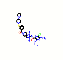 Nc1nc(N)c(C(=O)/N=C2\NCC3(CCN(C(=O)c4cccc(SN5CCC(N6CCCC6)CC5)c4)CC3)N2)nc1Cl